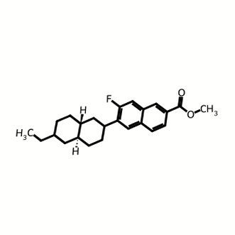 CCC1CC[C@@H]2CC(c3cc4ccc(C(=O)OC)cc4cc3F)CC[C@H]2C1